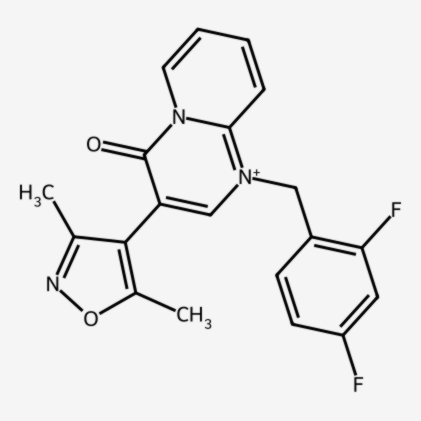 Cc1noc(C)c1-c1c[n+](Cc2ccc(F)cc2F)c2ccccn2c1=O